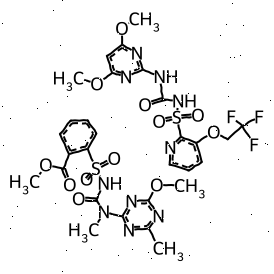 COC(=O)c1ccccc1S(=O)(=O)NC(=O)N(C)c1nc(C)nc(OC)n1.COc1cc(OC)nc(NC(=O)NS(=O)(=O)c2ncccc2OCC(F)(F)F)n1